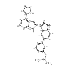 CN(C)Cc1cncc(-c2cnc3[nH]nc(-c4cc5c(-c6cccs6)cncc5[nH]4)c3c2)c1